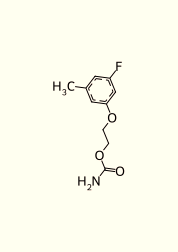 Cc1cc(F)cc(OCCOC(N)=O)c1